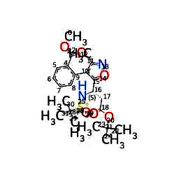 COC(=O)c1ccccc1-c1c(C)noc1[C@H](CC(=O)OC(C)(C)C)N[S@@+]([O-])C(C)(C)C